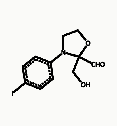 O=CC1(CO)OCCN1c1ccc(I)cc1